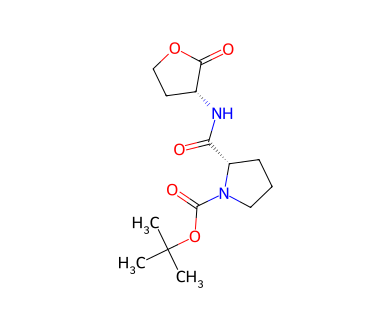 CC(C)(C)OC(=O)N1CCC[C@H]1C(=O)N[C@@H]1CCOC1=O